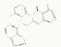 Cc1cccc(-n2c([C@H](C)Nc3ncnc4cccnc34)cc3cccc(Cl)c3c2=O)c1